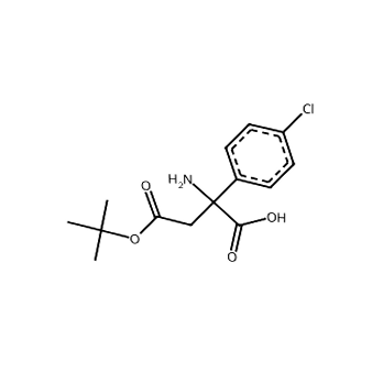 CC(C)(C)OC(=O)CC(N)(C(=O)O)c1ccc(Cl)cc1